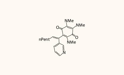 CCCCCC=C(C1=C(NC)C(=O)C(NC)=C(NC)C1=O)c1cccnc1